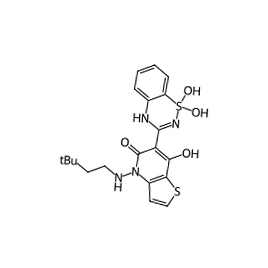 CC(C)(C)CCNn1c(=O)c(C2=NS(O)(O)c3ccccc3N2)c(O)c2sccc21